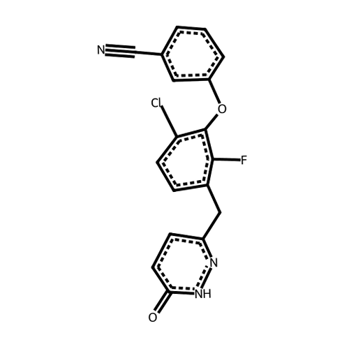 N#Cc1cccc(Oc2c(Cl)ccc(Cc3ccc(=O)[nH]n3)c2F)c1